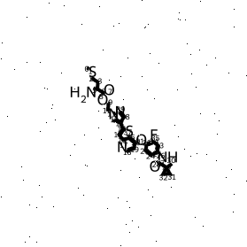 CSCCC(N)C(=O)OCCn1cc(-c2cc3nccc(Oc4ccc(NC(=O)C5(C)CC5)cc4F)c3s2)cn1